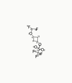 O=S(=O)(OC1CC(OC(F)F)C1)C(F)(F)F